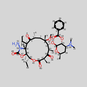 CCC1C(=O)[C@H](C)C[C@](C)(OC)[C@H](OC2O[C@H](C)C[C@H](N(C)C)[C@H]2OC(=O)c2ccccc2)[C@@H](C)C(=O)[C@@H](C)C(=O)O[C@H](CC)[C@@]2(C)OC(=O)N(N)[C@H]12